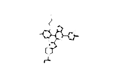 C=CC(=O)N1CCn2nc(-c3nc(-c4ccc(=O)n(C)c4)c4ccsc4c3-c3c(F)cc(F)cc3OCCOC)cc2[C@H]1C